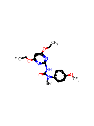 CCCN(C(=O)Nc1nc(OCC(F)(F)F)cc(OCC(F)(F)F)n1)c1ccc(OC(F)(F)F)cc1